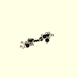 CCc1cc(Nc2nc3c(c(=O)[nH]2)NCN3CCCCCN2CCN(c3cc4c(cc3F)c(=O)c(C(=O)O)cn4-c3ccc(F)cc3F)CC2)ccc1C